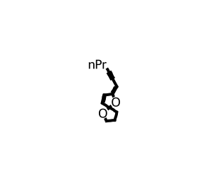 CCCC#C/C=C1\C=CC2(CCCO2)O1